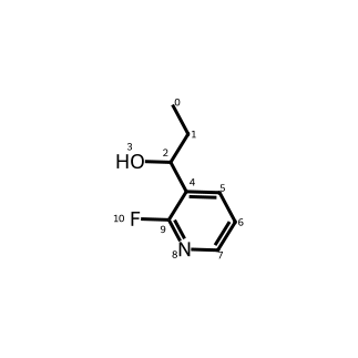 CCC(O)c1cccnc1F